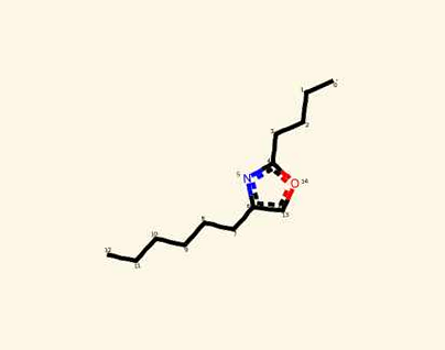 [CH2]CCCc1nc(CCCCCC)co1